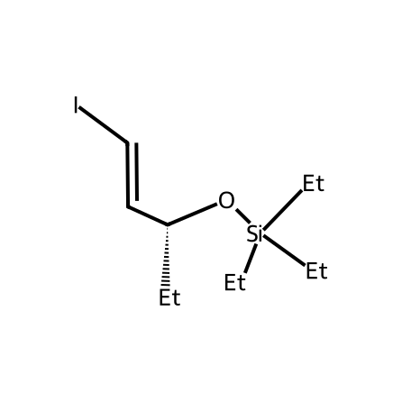 CC[C@H](/C=C/I)O[Si](CC)(CC)CC